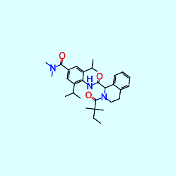 CCC(C)(C)C(=O)N1CCc2ccccc2C1C(=O)Nc1c(C(C)C)cc(C(=O)N(C)C)cc1C(C)C